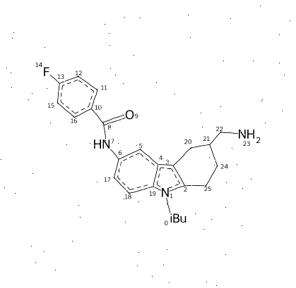 CCC(C)n1c2c(c3cc(NC(=O)c4ccc(F)cc4)ccc31)CC(CN)CC2